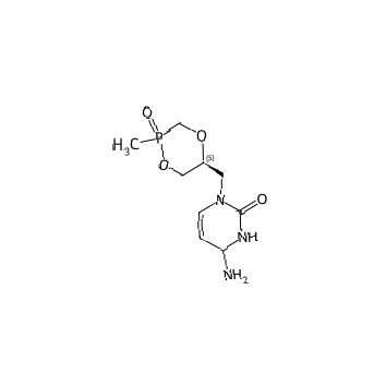 CP1(=O)CO[C@@H](CN2C=CC(N)NC2=O)CO1